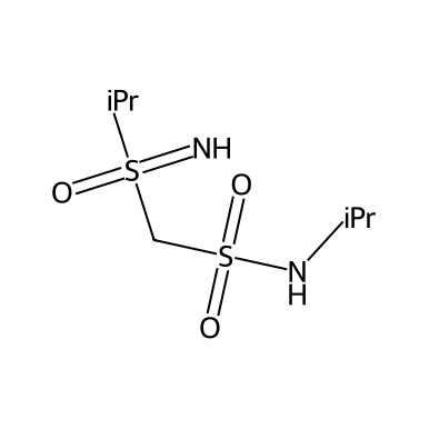 CC(C)NS(=O)(=O)CS(=N)(=O)C(C)C